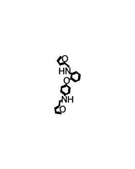 c1coc(CNc2ccc(Oc3ccccc3NCc3ccco3)cc2)c1